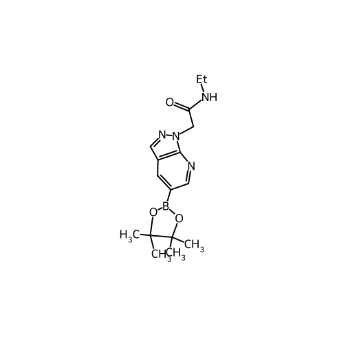 CCNC(=O)Cn1ncc2cc(B3OC(C)(C)C(C)(C)O3)cnc21